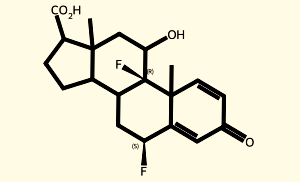 CC12CC(O)[C@@]3(F)C(C[C@H](F)C4=CC(=O)C=CC43C)C1CCC2C(=O)O